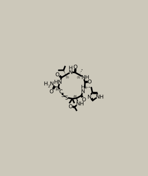 CC(=O)N[C@@H]1C(=O)N[C@@H](Cc2c[nH]cn2)C(=O)N[C@@H](C)C(=O)N[C@@H](C(C)C)C(=O)N[C@H](C(N)=O)CSSC1(C)C